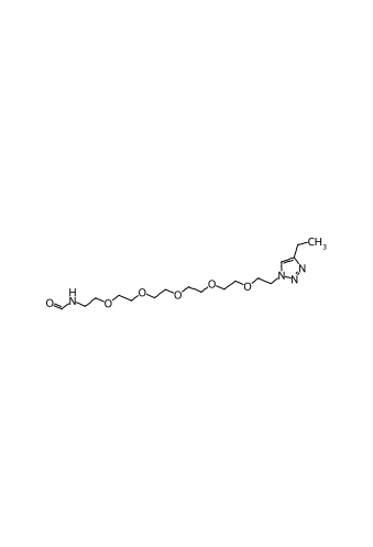 CCc1cn(CCOCCOCCOCCOCCOCCNC=O)nn1